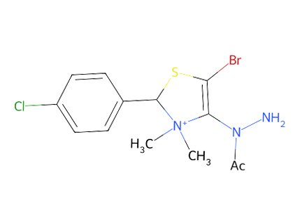 CC(=O)N(N)C1=C(Br)SC(c2ccc(Cl)cc2)[N+]1(C)C